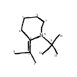 CC(C)=C1CCCCN1C(C)(C)C